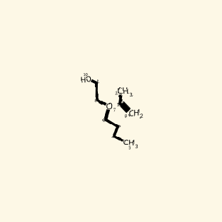 C=CC.CCCCOCCO